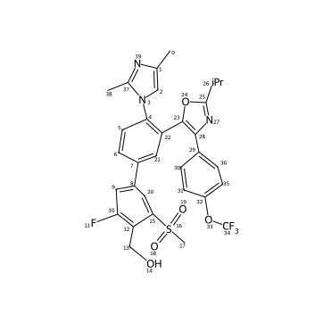 Cc1cn(-c2ccc(-c3cc(F)c(CO)c(S(C)(=O)=O)c3)cc2-c2oc(C(C)C)nc2-c2ccc(OC(F)(F)F)cc2)c(C)n1